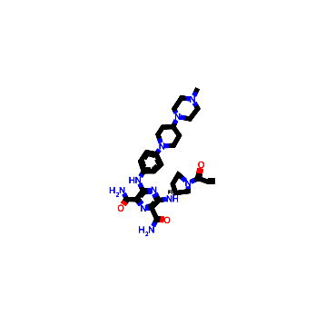 C=CC(=O)N1CC[C@@H](Nc2nc(Nc3ccc(N4CCC(N5CCN(C)CC5)CC4)cc3)c(C(N)=O)nc2C(N)=O)C1